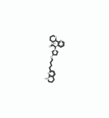 O=C(O)[C@@H](c1cccnc1C1CCCCO1)N1CC[C@@H](OCCCCc2ccc3c(n2)NCCC3)C1